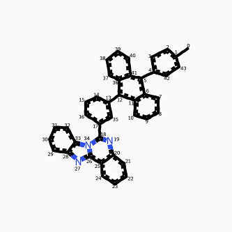 Cc1ccc(-c2c3ccccc3c(-c3cccc(-c4nc5ccccc5c5nc6ccccc6n45)c3)c3ccccc23)cc1